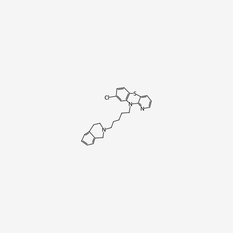 Clc1ccc2c(c1)N(CCCCCN1CCc3ccccc3C1)c1ncccc1S2